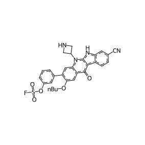 CCCCOc1cc2c(=O)c3c4ccc(C#N)cc4[nH]c3n(C3CNC3)c2cc1-c1cccc(OS(=O)(=O)F)c1